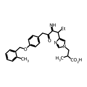 CCC(C(=N)C(=O)Cc1ccc(OCc2ccccc2C)cc1)c1cn(CC(C)C(=O)O)cn1